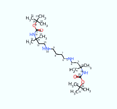 CC(C)(CCNCCCCNCCC(C)(C)NC(=O)OC(C)(C)C)NC(=O)OC(C)(C)C